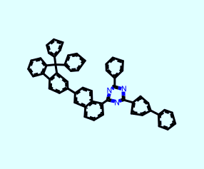 c1ccc(-c2ccc(-c3nc(-c4ccccc4)nc(-c4cccc5cc(-c6ccc7c(c6)C(c6ccccc6)(c6ccccc6)c6ccccc6-7)ccc45)n3)cc2)cc1